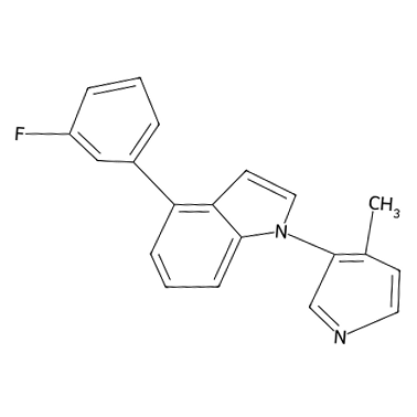 Cc1ccncc1-n1ccc2c(-c3cccc(F)c3)cccc21